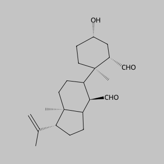 C=C(C)[C@H]1CCC2[C@H](C=O)C([C@@]3(C)CC[C@H](O)C[C@@H]3C=O)CC[C@@]21C